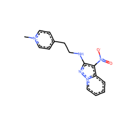 C[n+]1ccc(CCNc2nn3ccccc3c2[N+](=O)[O-])cc1